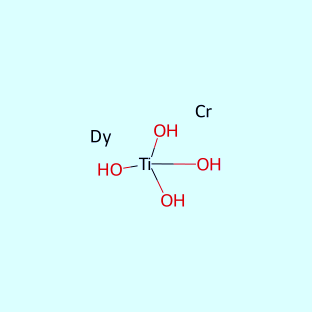 [Cr].[Dy].[OH][Ti]([OH])([OH])[OH]